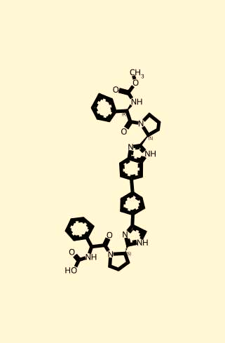 COC(=O)N[C@@H](C(=O)N1CCC[C@H]1c1nc2ccc(-c3ccc(-c4c[nH]c([C@@H]5CCCN5C(=O)C(NC(=O)O)c5ccccc5)n4)cc3)cc2[nH]1)c1ccccc1